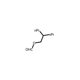 CCCC(CCC)COC=O